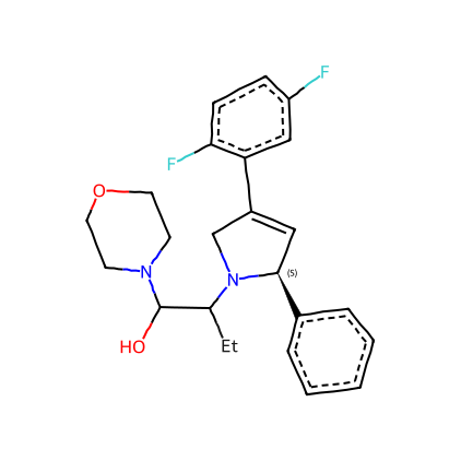 CCC(C(O)N1CCOCC1)N1CC(c2cc(F)ccc2F)=C[C@H]1c1ccccc1